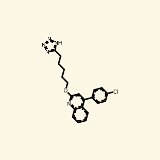 Clc1ccc(-c2cc(OCCCCCc3nnn[nH]3)nc3ccccc23)cc1